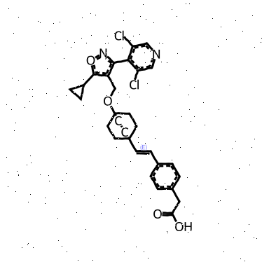 O=C(O)Cc1ccc(/C=C/C23CCC(OCc4c(-c5c(Cl)cncc5Cl)noc4C4CC4)(CC2)CC3)cc1